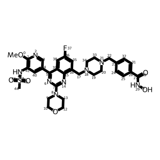 COc1ncc(-c2nc(N3CCOCC3)nc3c(CN4CCN(Cc5ccc(C(=O)NO)cc5)CC4)cc(F)cc23)cc1NS(C)(=O)=O